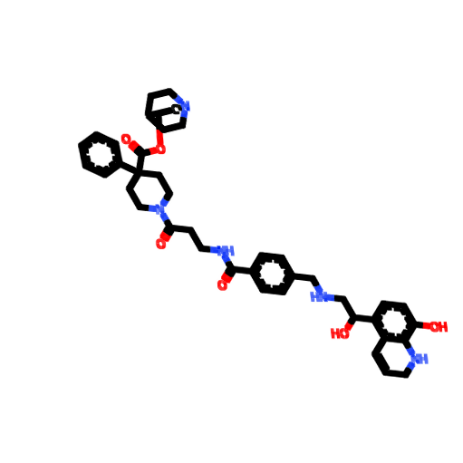 O=C(NCCC(=O)N1CCC(C(=O)OC2CN3CCC2CC3)(c2ccccc2)CC1)c1ccc(CNCC(O)c2ccc(O)c3c2C=CCN3)cc1